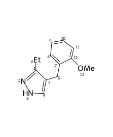 CCc1n[nH]cc1Cc1ccccc1OC